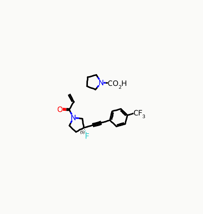 C=CC(=O)N1CC[C@](F)(C#Cc2ccc(C(F)(F)F)cc2)C1.O=C(O)N1CCCC1